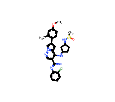 COc1ccc(-c2cc3c(NC4CCC(N[S+](C)[O-])C4)c(/C(N)=N/c4ccccc4Cl)cnn3c2)c(C)c1